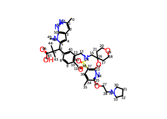 Cc1cc2cc(C(c3ccc(C)c(CN4CC5(CCOCC5)Oc5nc(OCCN6CCCC6)c(C)cc5S4(=O)=O)c3)C(C)(C)C(=O)O)n(C)c2nn1